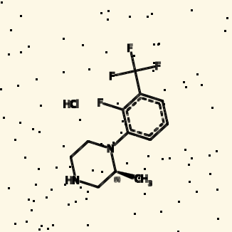 C[C@H]1CNCCN1c1cccc(C(F)(F)F)c1F.Cl